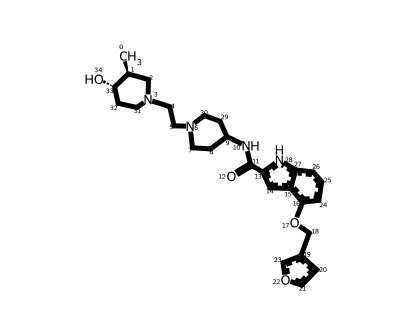 C[C@H]1CN(CCN2CCC(NC(=O)c3cc4c(OCc5ccoc5)cccc4[nH]3)CC2)CC[C@@H]1O